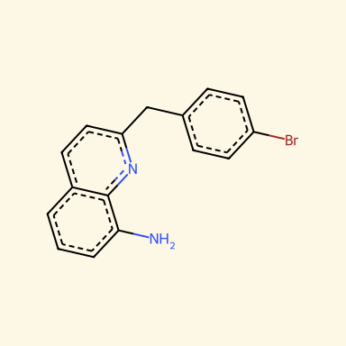 Nc1cccc2ccc(Cc3ccc(Br)cc3)nc12